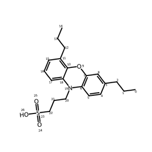 CCCc1ccc2c(c1)Oc1c(CCC)cccc1N2CCCS(=O)(=O)O